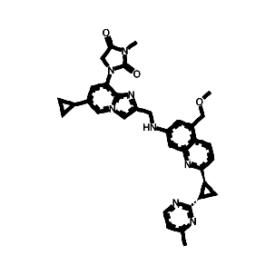 COCc1cc(NCc2cn3cc(C4CC4)cc(N4CC(=O)N(C)C4=O)c3n2)cc2nc([C@H]3C[C@@H]3c3nccc(C)n3)ccc12